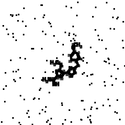 COc1ccc(Cc2csc(-c3cc(C(=N)N)sc3SC)n2)cc1